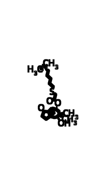 CN(C)CCCCCSCC(=O)O[C@@H]1CC(C)(C)[C@@H](O)CC23CCCC1C2C(=O)CC3